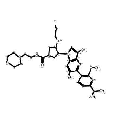 COc1nc(C(C)C)ccc1-c1nc2c(C)cn(C3CN(C(=O)OCCN4CCOCC4)CC3OCCF)c2cc1C